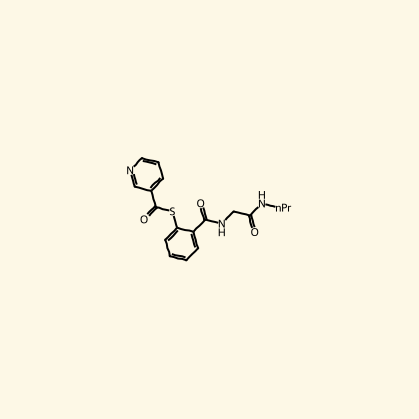 CCCNC(=O)CNC(=O)c1ccccc1SC(=O)c1cccnc1